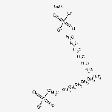 O.O.O.O.O.O.O.O.O.O.O.O.O=S(=O)([O-])[O-].O=S(=O)([O-])[O-].[Fe+3].[NH4+]